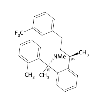 CN[C@](C)(c1ccccc1C)c1ccccc1[C@H](C)CCc1cccc(C(F)(F)F)c1